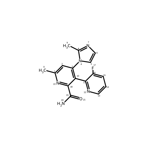 Cc1cc(-n2ccnc2C)c(-c2ncccc2F)c(C(N)=O)n1